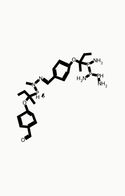 CCC(C)(Oc1ccc(/C=N/N(C)[PH](=S)C(C)(CC)Oc2ccc(C=O)cc2)cc1)P(N)P(N)PN